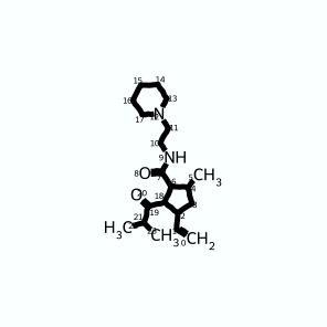 C=CC1CC(C)C(C(=O)NCCN2CCCCC2)C1C(=O)C(C)C